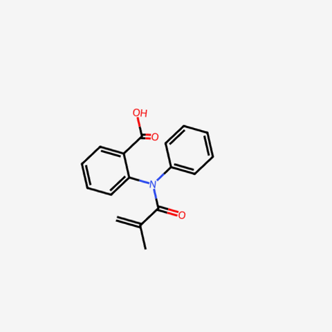 C=C(C)C(=O)N(c1ccccc1)c1ccccc1C(=O)O